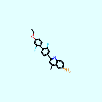 CCOc1ccc(-c2ccc(-c3cc(C)c4cc(P)ccc4n3)cc2F)c(F)c1